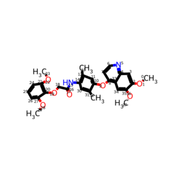 COc1cc2nccc(Oc3cc(C)c(NC(=O)COc4c(OC)cccc4OC)cc3C)c2cc1OC